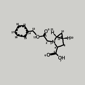 O=C(CN1C(C(=O)O)C[C@H]2C[C@H]21)OCc1ccccc1